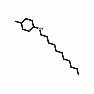 CCCCCCCCCCCNC1CCC(C)CC1